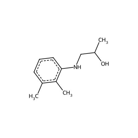 Cc1cccc(NCC(C)O)c1C